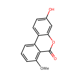 COc1cccc2c1c(=O)oc1cc(O)ccc12